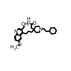 COc1ccc2ncc(CO)c(CCCC3(CC(=O)O)CCN(CCC4CCCCC4)CC3)c2c1